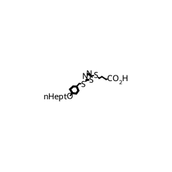 CCCCCCCOc1ccc(CSc2nnc(SCCCC(=O)O)s2)cc1